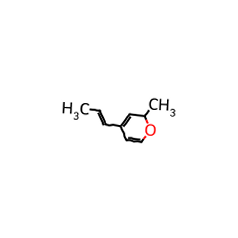 C/C=C/C1=CC(C)OC=C1